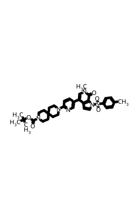 Cc1ccc(S(=O)(=O)n2ccc3c(-c4ccc(N5CCC6(CCN(C(=O)OC(C)(C)C)CC6)CC5)nc4)cn(C)c(=O)c32)cc1